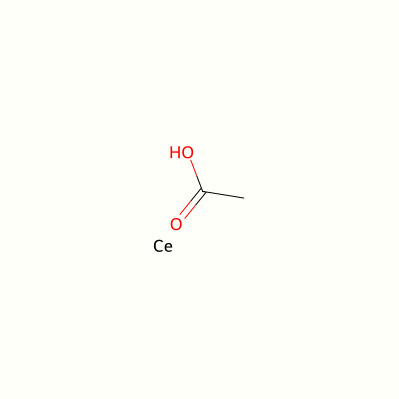 CC(=O)O.[Ce]